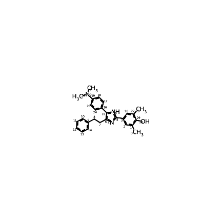 Cc1cc(-c2nc(CCc3ccccc3)c(-c3ccc(N(C)C)cc3)[nH]2)cc(C)c1O